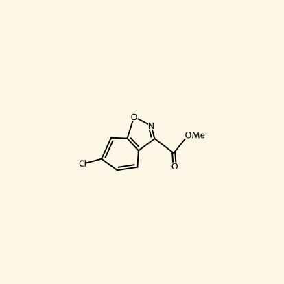 COC(=O)c1noc2cc(Cl)ccc12